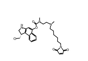 CN(CCCCCCN1C(=O)C=CC1=O)CCN(C)C(=O)Oc1cc2c(c3ccccc13)[C@H](CCl)CN2